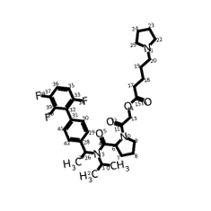 CC(C)N(C(=O)C1CCCN1C(=O)COC(=O)CCCCN1CCCC1)C(C)c1ccc(-c2c(F)ccc(F)c2F)cc1